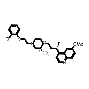 COc1ccc2nccc([C@@H](F)CC[C@@H]3CCN(CCSc4ccccc4Cl)C[C@@H]3C(=O)O)c2c1